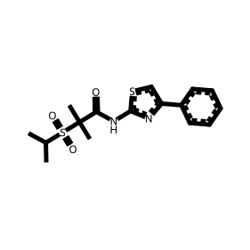 CC(C)S(=O)(=O)C(C)(C)C(=O)Nc1nc(-c2ccccc2)cs1